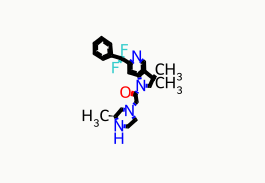 C[C@@H]1CN(CC(=O)N2CC(C)(C)c3cnc(C(F)(F)c4ccccc4)cc32)CCN1